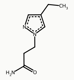 CCc1cnn(CCC(N)=O)c1